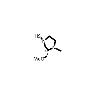 COC[C@@H]1CN(S)CCN1C